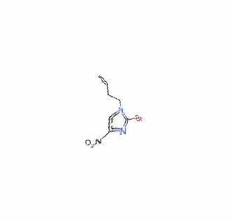 C=CCCn1cc([N+](=O)[O-])nc1Br